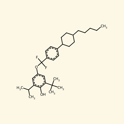 CCCCCC1CCC(c2ccc(C(F)(F)Oc3cc(C(C)C)c(O)c(C(C)(C)C)c3)cc2)CC1